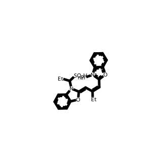 CCC[n+]1c(C=C(C=C2Oc3ccccc3N2C(CC)S(=O)(=O)O)CC)oc2ccccc21